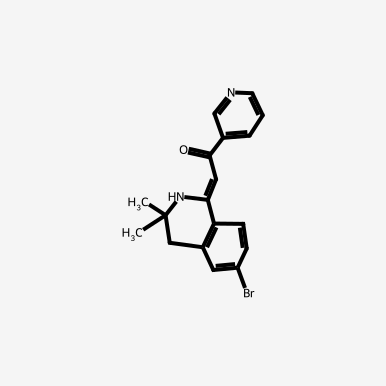 CC1(C)Cc2cc(Br)ccc2C(=CC(=O)c2cccnc2)N1